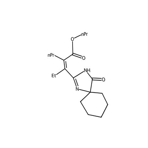 CCCOC(=O)/C(CCC)=C(/CC)C1=NC2(CCCCC2)C(=O)N1